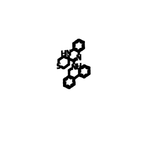 c1ccc(-c2ccccc2CNC2=Nc3ccccc3NC23CCSCC3)cc1